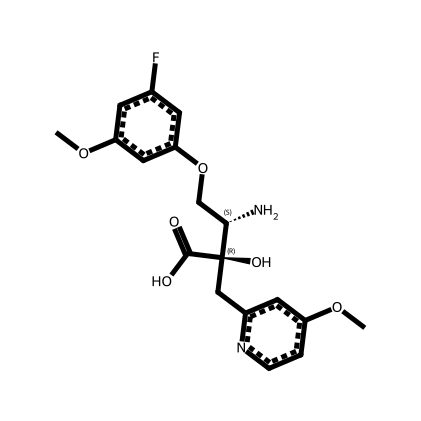 COc1cc(F)cc(OC[C@H](N)[C@](O)(Cc2cc(OC)ccn2)C(=O)O)c1